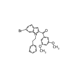 COc1cc(OC)cc(C(=O)c2cc3ccc(Br)cc3n2CCc2ccccc2)c1